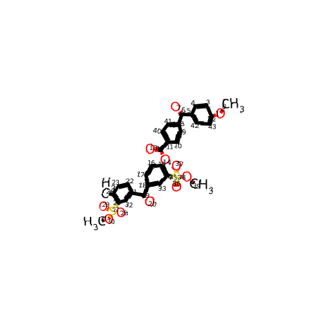 COc1ccc(C(=O)c2ccc(C(=O)Oc3ccc(C(=O)c4ccc(C)c(S(=O)(=O)OC)c4)cc3S(=O)(=O)OC)cc2)cc1